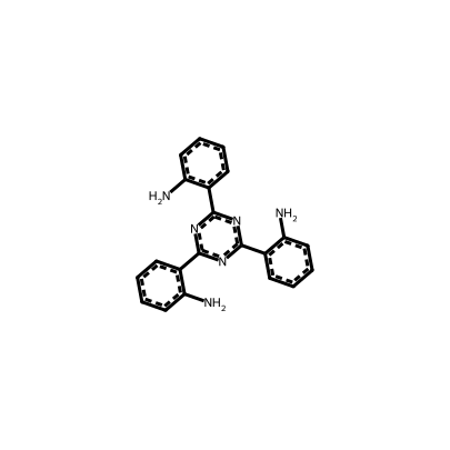 Nc1ccccc1-c1nc(-c2ccccc2N)nc(-c2ccccc2N)n1